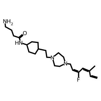 C=C/C(C)=C\C(F)=C/CN1CCN(CCC2CCC(NC(=O)CCCN)CC2)CC1